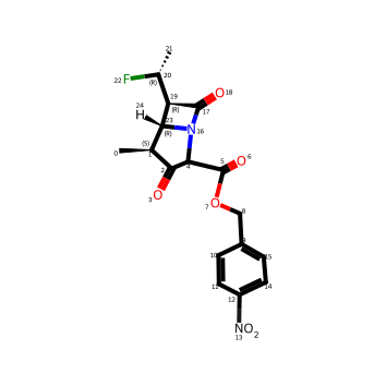 C[C@@H]1C(=O)C(C(=O)OCc2ccc([N+](=O)[O-])cc2)N2C(=O)[C@H]([C@@H](C)F)[C@@H]12